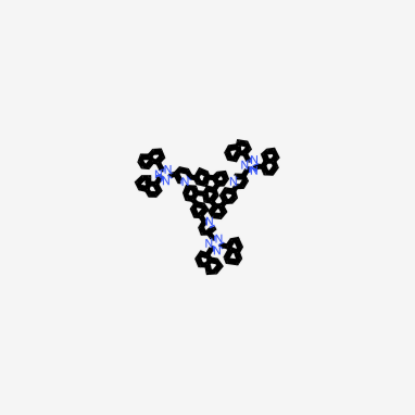 c1ccc(-c2cc(-c3ccccc3-c3ccc(-c4ccc(-c5nc(-c6cccc7ccccc67)nc(-c6cccc7ccccc67)n5)cn4)cc3)cc(-c3ccccc3-c3ccc(-c4ccc(-c5nc(-c6cccc7ccccc67)nc(-c6cccc7ccccc67)n5)cn4)cc3)c2)c(-c2ccc(-c3ccc(-c4nc(-c5cccc6ccccc56)nc(-c5cccc6ccccc56)n4)cn3)cc2)c1